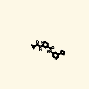 O=C(Nc1cncc(C2CCC2)c1)c1ccnc(NC(=O)C2CC2)c1